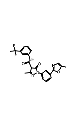 CC1=NN(c2cccc(-c3ncc(C)o3)c2)C(=O)C1C(=O)Nc1cccc(C(C)(F)F)c1